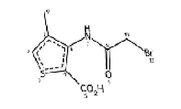 Cc1csc(C(=O)O)c1NC(=O)CBr